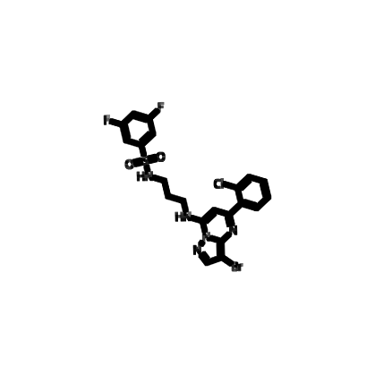 O=S(=O)(NCCCNc1cc(-c2ccccc2Cl)nc2c(Br)cnn12)c1cc(F)cc(F)c1